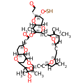 C=C1C2C[C@@H]3O[C@H]4C[C@@H](OS)[C@@H](CC=O)O[C@H]4[C@H](C)[C@H]3OC(=O)C[C@H]3CC[C@@H]4OC5C[C@@H](O[C@]6(CC[C@H]7CC(=C)[C@H](CC[C@@H](C[C@H]1C)O2)O7)O[C@@H]5C(C)(O)[C@H]6C)[C@H]4O3